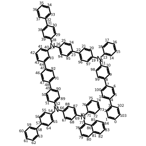 c1ccc(-c2ccc(-c3ccc(N(c4ccccc4)c4ccc(-c5ccc(N(c6ccc(-c7ccccc7)cc6)c6cccc(-c7ccc(-c8ccc(N(c9ccc(-c%10ccccc%10)cc9)c9ccc(N(c%10ccccc%10)c%10cccc%11ccccc%10%11)cc9)cc8)cc7)c6)cc5)cc4)cc3)cc2)cc1